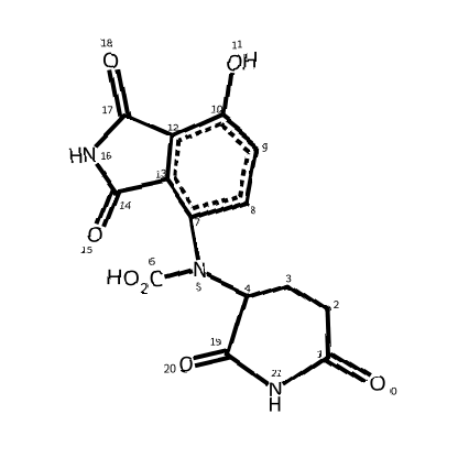 O=C1CCC(N(C(=O)O)c2ccc(O)c3c2C(=O)NC3=O)C(=O)N1